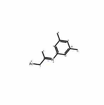 CC(=O)C/C(C)=N/c1cc(C)cc(C)c1